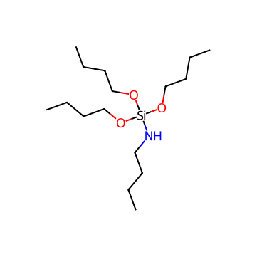 CCCCN[Si](OCCCC)(OCCCC)OCCCC